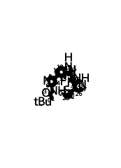 CC(C)(C)CC(=O)Nc1cncc(-c2ccc3[nH]nc(-c4nc5c(-c6cccs6)ccnc5[nH]4)c3c2F)c1